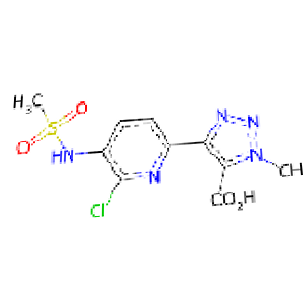 Cn1nnc(-c2ccc(NS(C)(=O)=O)c(Cl)n2)c1C(=O)O